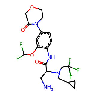 NC[C@@H](C(=O)Nc1ccc(N2CCOCC2=O)cc1OC(F)F)N(CC1CC1)CC(F)(F)F